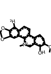 [2H]c1c2c(cc3c1ccc1c4ccc(OC)c(O)c4c[n+](C)c31)OCO2